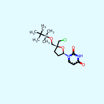 CC(C)(C)[Si](C)(C)OC[C@]1(CCl)CC[C@H](n2ccc(=O)[nH]c2=O)O1